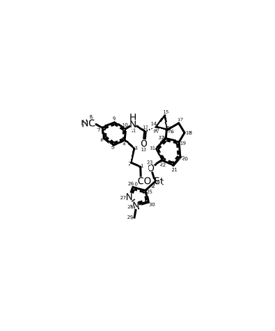 CCOC(=O)CCCc1ccc(C#N)cc1NC(=O)[C@@H]1C[C@]12CCc1ccc(OCc3cnn(C)c3)cc12